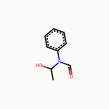 CC(O)N([C]=O)c1ccccc1